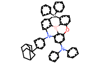 c1ccc(N(c2ccccc2)c2cc3c4c(c2)N(c2ccc(C56CC7CC(CC(C7)C5)C6)cc2)c2cccc5c2B4c2c(cccc2[Si]5(c2ccccc2)c2ccccc2)O3)cc1